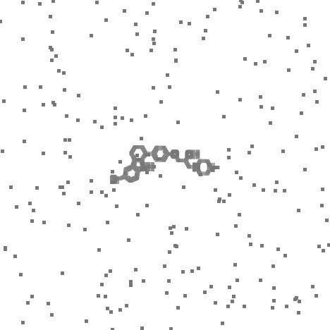 CN1CCN(CC(O)COc2ccc(C3CCCc4c3[nH]c3ccc(Br)cc43)cc2)CC1